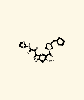 COc1cc2onc(C(=O)C(=O)Nc3nccs3)c2nc1C(=O)N1CCC(Cc2ccccc2)C1